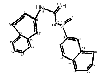 C=[N+](NC(=N)Nc1ccc2ccccc2c1)c1ccc2ccccc2c1